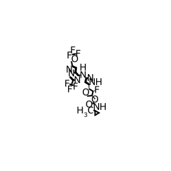 CC1(NC(=O)O[C@H]2CO[C@@H](c3cc(Nc4nc(C(F)(F)F)cn5nc(COC(F)(F)F)cc45)n[nH]3)[C@@H]2F)CC1